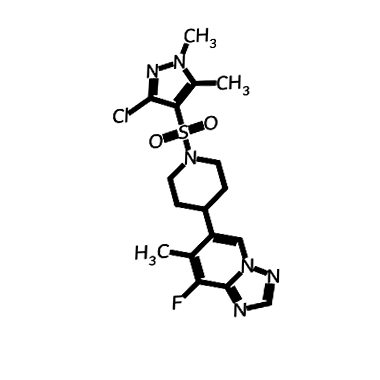 Cc1c(C2CCN(S(=O)(=O)c3c(Cl)nn(C)c3C)CC2)cn2ncnc2c1F